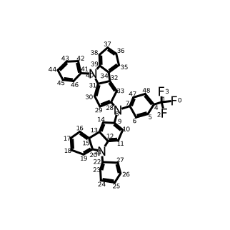 FC(F)(F)c1ccc(N(c2ccc3c(c2)c2ccccc2n3-c2ccccc2)c2ccc3c(c2)c2ccccc2n3-c2ccccc2)cc1